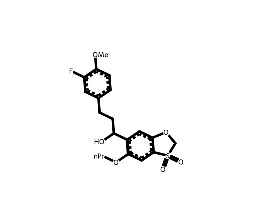 CCCOc1cc2c(cc1C(O)CCc1ccc(OC)c(F)c1)OCS2(=O)=O